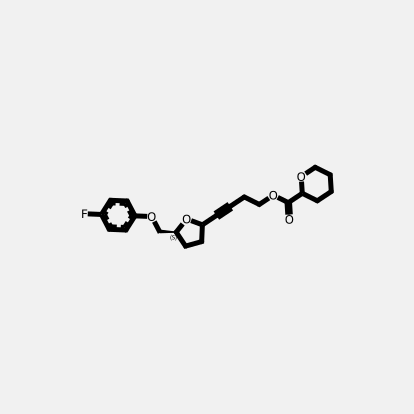 O=C(OCCC#CC1CC[C@@H](COc2ccc(F)cc2)O1)C1CCCCO1